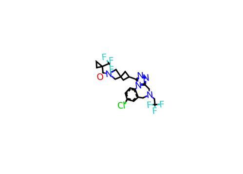 O=C(N1CC2(CC(c3nnc4n3-c3ccc(Cl)cc3CN(CC(F)(F)F)C4)C2)C1)C1(C(F)(F)F)CC1